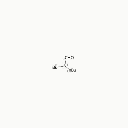 CCCCN(C=O)C(C)CC